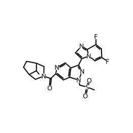 CC1C2CCC1CN(C(=O)c1cc3c(cn1)c(-c1cnc4c(F)cc(F)cn14)nn3CS(C)(=O)=O)C2